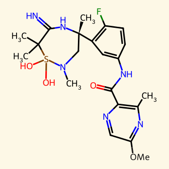 COc1cnc(C(=O)Nc2ccc(F)c([C@]3(C)CN(C)S(O)(O)C(C)(C)C(=N)N3)c2)c(C)n1